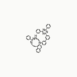 c1ccc(-c2ncccc3c4ccccc4ccc3n(-c3cccc(-c4cccc(-c5nc(-c6ccccc6)nc(-c6ccccc6)n5)c4)c3)cc[nH]n2)cc1